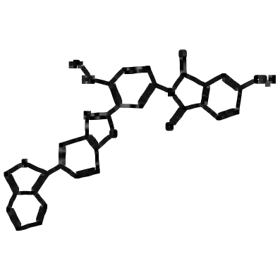 CCCNc1ccc(N2C(=O)c3ccc(C(=O)O)cc3C2=O)cc1-c1nc2cc(-c3scc4ccccc34)ccc2o1